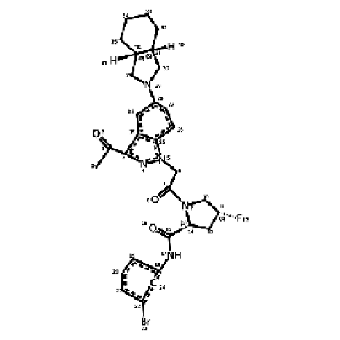 CC(=O)c1nn(CC(=O)N2C[C@H](F)C[C@H]2C(=O)Nc2cccc(Br)c2)c2ccc(N3C[C@H]4CCCC[C@H]4C3)cc12